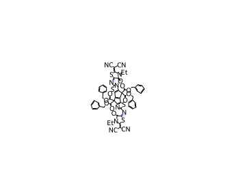 CCN1C(=O)/C(=N\c2nc3c(s2)C2=C(c4sc(/N=C5/SC(=C(C#N)C#N)N(CC)C5=O)nc4C2(C(=O)OCc2ccccc2)C(=O)OCc2ccccc2)C3(C(=O)OCc2ccccc2)C(=O)OCc2ccccc2)SC1=C(C#N)C#N